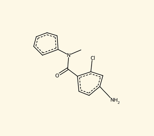 CN(C(=O)c1ccc(N)cc1Cl)c1ccccc1